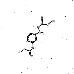 CCSC(=N)Nc1cccc(C(C)NC(=O)OC(C)(C)C)c1